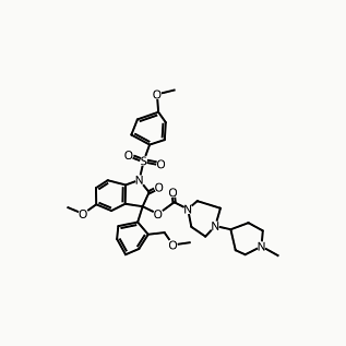 COCc1ccccc1C1(OC(=O)N2CCN(C3CCN(C)CC3)CC2)C(=O)N(S(=O)(=O)c2ccc(OC)cc2)c2ccc(OC)cc21